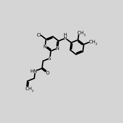 C=CCNC(=O)CSc1nc(Cl)cc(Nc2cccc(C)c2C)n1